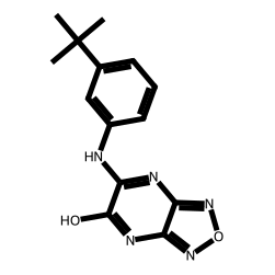 CC(C)(C)c1cccc(Nc2nc3nonc3nc2O)c1